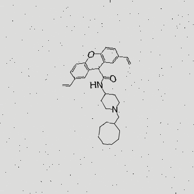 C=Cc1ccc2c(c1)C(C(=O)NC1CCN(CC3CCCCCCC3)CC1)c1cc(C=C)ccc1O2